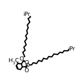 CC(C)CCCCCCCCCCCCCCCOC(=O)C1CC=CC(C)C1C(=O)OCCCCCCCCCCCCCCCC(C)C